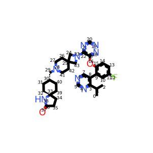 CC(C)c1ncncc1-c1cc(F)ccc1Oc1nncnc1N1CC2(CCN(C[C@H]3CC[C@]4(CCC(=O)N4)CC3)CC2)C1